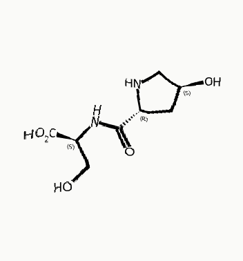 O=C(O)[C@H](CO)NC(=O)[C@H]1C[C@H](O)CN1